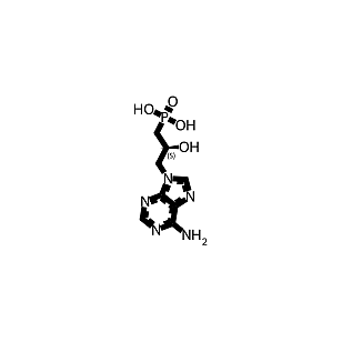 Nc1ncnc2c1ncn2C[C@H](O)CP(=O)(O)O